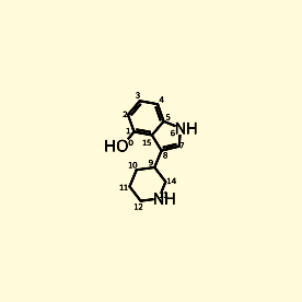 Oc1cccc2[nH]cc(C3CCCNC3)c12